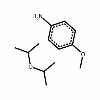 CC(C)OC(C)C.COc1ccc(N)cc1